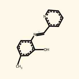 Cc1ccc(/N=C/c2ccccn2)c(O)c1